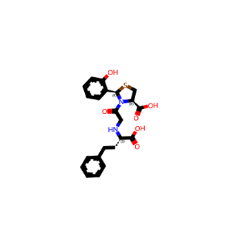 O=C(O)[C@H](CCc1ccccc1)NCC(=O)N1[C@@H](c2ccccc2O)SC[C@H]1C(=O)O